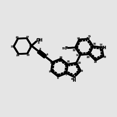 OC1(C#Cc2ccc3[nH]cc(-c4c(F)cnc5[nH]ccc45)c3c2)CCCCC1